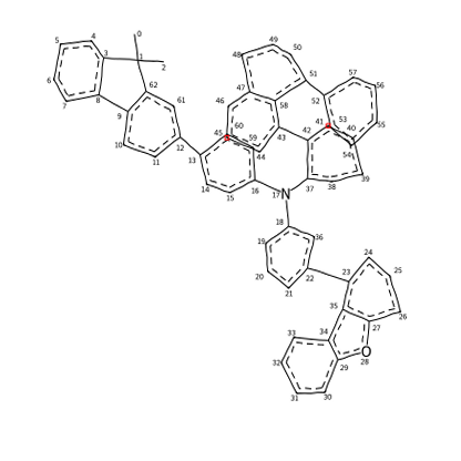 CC1(C)c2ccccc2-c2ccc(-c3ccc(N(c4cccc(-c5cccc6oc7ccccc7c56)c4)c4ccccc4-c4cccc5cccc(-c6ccccc6)c45)cc3)cc21